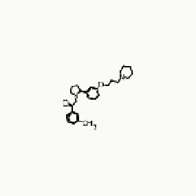 Cc1cccc(C(=O)CN2CCCC2c2cccc(OCCCN3CCCCC3)c2)c1